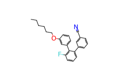 CCCCCCOc1cccc(-c2c(F)cccc2-c2cccc(C#N)c2)c1